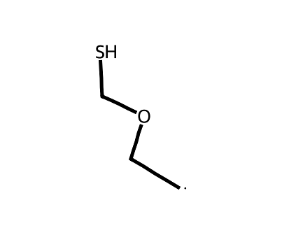 [CH2]COCS